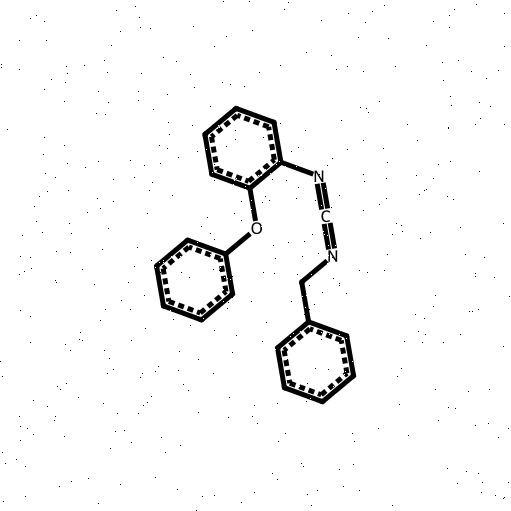 C(=NCc1ccccc1)=Nc1ccccc1Oc1ccccc1